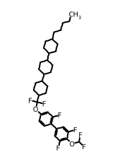 CCCCCC1CCC(C2CCC(C3CCC(C(F)(F)Oc4ccc(-c5cc(F)c(OC(F)F)c(F)c5)c(F)c4)CC3)CC2)CC1